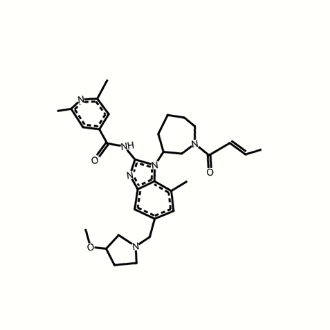 CC=CC(=O)N1CCCCC(n2c(NC(=O)c3cc(C)nc(C)c3)nc3cc(CN4CCC(OC)C4)cc(C)c32)C1